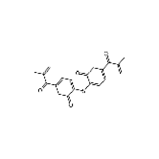 C=C(C)C(=O)C1=CC=C(SC2=CC=C(C(=O)C(=C)C)CC2=O)C(=O)C1